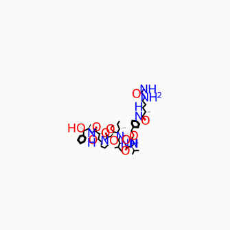 CC[C@H](C)[C@@H]([C@@H](CC(=O)N1CCC[C@H]1[C@H](OC)[C@@H](C)C(=O)N[C@H](C)[C@@H](O)c1ccccc1)OC)N(C)C(=O)[C@@H](NC(=O)[C@H](C(C)C)N(C)C(=O)OCc1ccc(NC(=O)[C@@H](C)CCCNC(N)=O)cc1)C(C)C